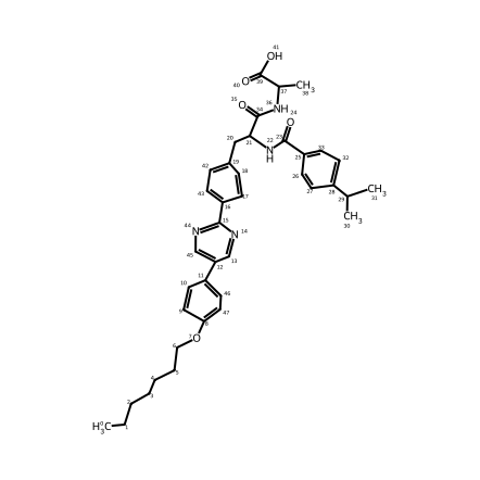 CCCCCCCOc1ccc(-c2cnc(-c3ccc(CC(NC(=O)c4ccc(C(C)C)cc4)C(=O)NC(C)C(=O)O)cc3)nc2)cc1